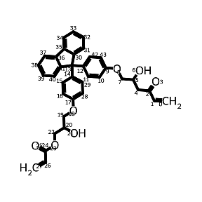 C=CC(=O)CC(O)COc1ccc(C2(c3ccc(OCC(O)COC(=O)C=C)cc3)c3ccccc3-c3ccccc32)cc1